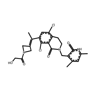 CC(=C1CN(C(=O)CO)C1)c1cc(Cl)c2c(c1Cl)C(=O)N(Cc1c(C)cc(C)[nH]c1=O)CC2